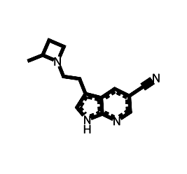 CC1CCN1CCc1c[nH]c2ncc(C#N)cc12